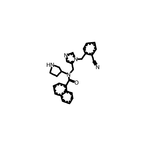 N#Cc1ccccc1Cn1cncc1CN(C(=O)c1cccc2ccccc12)C1CCNC1